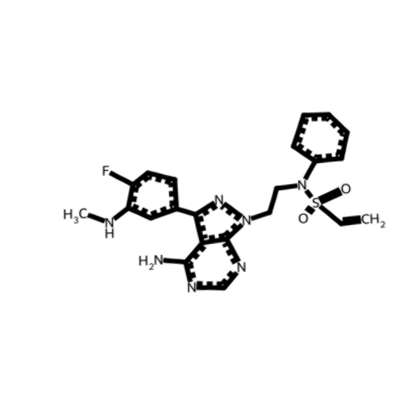 C=CS(=O)(=O)N(CCn1nc(-c2ccc(F)c(NC)c2)c2c(N)ncnc21)c1ccccc1